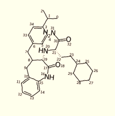 CC(C)c1ccc(CC2Cc3ccccc3NC(=O)[C@H]2N[C@@H](CCC2CCCCC2)C(N)=O)cc1